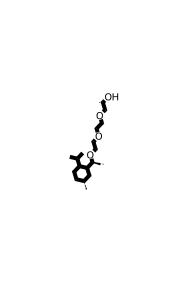 [CH2][C@H](OCCOCCOC[CH]O)C1C[C@H](C)CCC1C(C)C